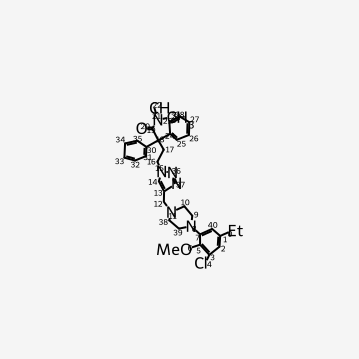 CCc1cc(Cl)c(OC)c(N2CCN(Cc3cn(CCC(C(=O)N(C)C)(c4ccccc4)c4ccccc4)nn3)CC2)c1